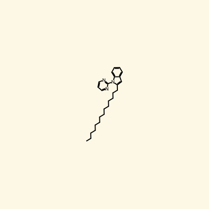 CCCCCCCCCCCCCCc1cc2ccccc2n1-c1ncccn1